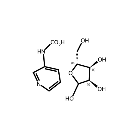 O=C(O)Nc1cccnc1.OC[C@H]1OC(O)[C@H](O)[C@@H]1O